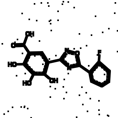 O=C(O)c1cc(-c2noc(-c3ccccc3F)n2)c(O)c(O)c1O